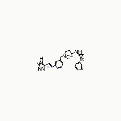 C(=C\c1nnn[nH]1)/c1cccc(CN2CCC(N[C@@H]3C[C@H]3c3ccccc3)CC2)c1